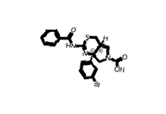 O=C(NC1=N[C@@]2(c3cccc(Br)c3)CN(C(=O)O)C[C@H]2CS1)c1ccccc1